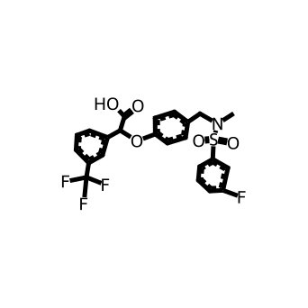 CN(Cc1ccc(OC(C(=O)O)c2cccc(C(F)(F)F)c2)cc1)S(=O)(=O)c1cccc(F)c1